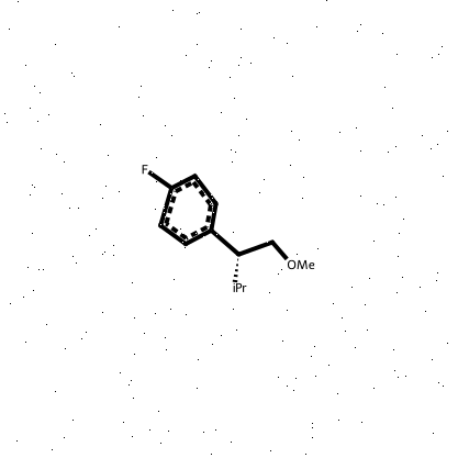 COC[C@@H](c1ccc(F)cc1)C(C)C